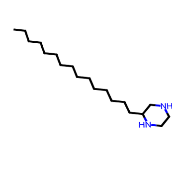 CCCCCCCCCCCCCCCC1CNCCN1